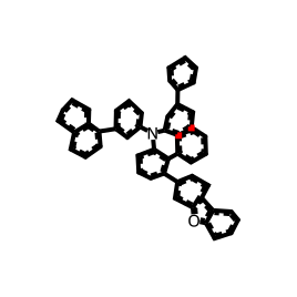 c1ccc(-c2cccc(N(c3cccc(-c4cccc5ccccc45)c3)c3cccc(-c4ccc5c(c4)oc4ccccc45)c3-c3ccccc3)c2)cc1